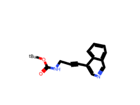 CC(C)(C)OC(=O)NCC#Cc1cncc2ccccc12